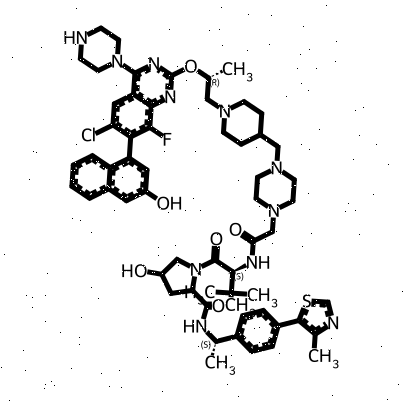 Cc1ncsc1-c1ccc([C@H](C)NC(=O)C2CC(O)CN2C(=O)[C@@H](NC(=O)CN2CCN(CC3CCN(C[C@@H](C)Oc4nc(N5CCNCC5)c5cc(Cl)c(-c6cc(O)cc7ccccc67)c(F)c5n4)CC3)CC2)C(C)(C)C)cc1